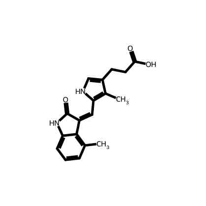 Cc1cccc2c1C(=Cc1[nH]cc(CCC(=O)O)c1C)C(=O)N2